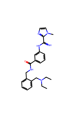 CCN(CC)Cc1ccccc1CNC(=O)c1cccc(NC(=N)c2nccn2C)c1